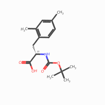 Cc1ccc(C[C@H](NC(=O)OC(C)(C)C)C(=O)O)c(C)c1